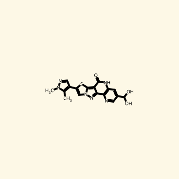 Cc1c(-c2cn3nc4c5ncc(C(O)O)cc5[nH]c(=O)c4c3s2)cnn1C